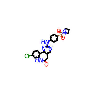 O=C1Cc2cnc(Nc3ccc(S(=O)(=O)N4CCC4)cc3)nc2-c2ccc(Cl)cc2N1